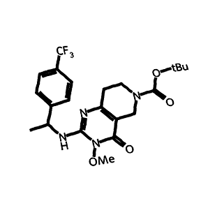 COn1c(NC(C)c2ccc(C(F)(F)F)cc2)nc2c(c1=O)CN(C(=O)OC(C)(C)C)CC2